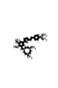 COc1cc(-c2ccc(/C=C/c3ccc(N(C)C)cc3)s2)cc(CN2CCN(C)CCN(C)CC2)c1O